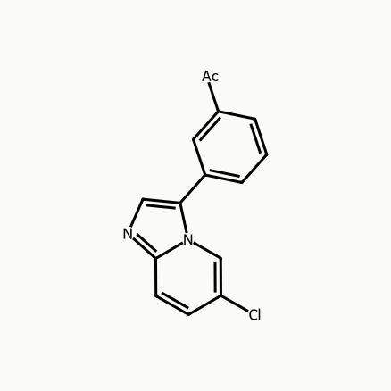 CC(=O)c1cccc(-c2cnc3ccc(Cl)cn23)c1